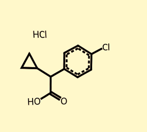 Cl.O=C(O)C(c1ccc(Cl)cc1)C1CC1